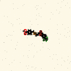 COC(=O)c1ccc(CSS/C=C\CS(=O)(=O)Cc2ccc(C(F)(F)F)cc2)cc1